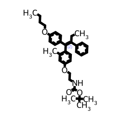 CCCCOc1ccc(/C(=C(\CC)c2ccccc2)c2ccc(OCCNC(=O)OC(C)(C)C)cc2C)cc1